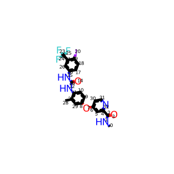 CNC(=O)c1cc(Oc2ccc(NC(=O)Nc3ccc(I)c(C(F)(F)F)c3)c(C)c2)ccn1